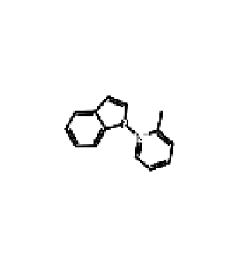 Cc1cccc[n+]1-n1ccc2ccccc21